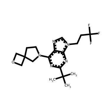 CC(C)(C)c1nc(N2CCC3(COC3)C2)c2ncn(CCC(F)(F)F)c2n1